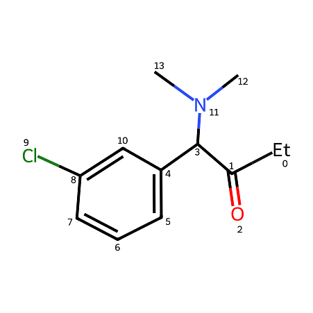 CCC(=O)C(c1cccc(Cl)c1)N(C)C